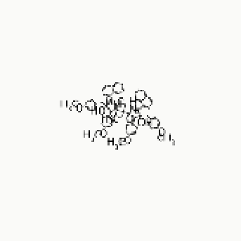 CCC(CC)(C(=O)N[C@@H](c1cccc2ccccc12)C(O)(Cc1ccc(OC)cc1)Cc1ccc(OC)cc1)C(=O)N[C@@H](c1cccc2ccccc12)C(O)(Cc1ccc(OC)cc1)Cc1ccc(OC)cc1